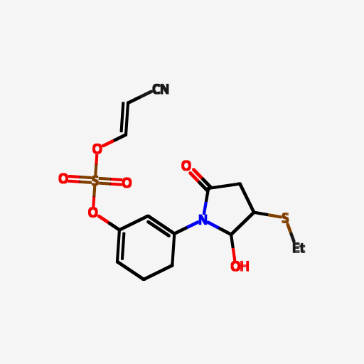 CCSC1CC(=O)N(C2=CC(OS(=O)(=O)O/C=C/C#N)=CCC2)C1O